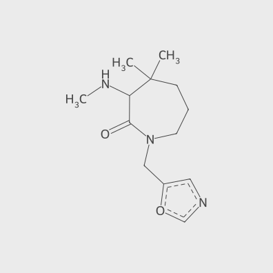 CNC1C(=O)N(Cc2cnco2)CCCC1(C)C